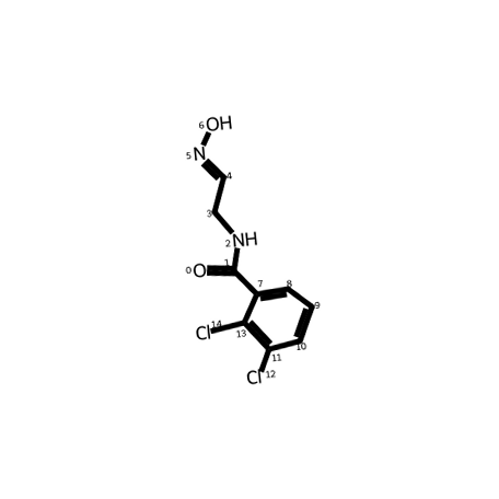 O=C(NCC=NO)c1cccc(Cl)c1Cl